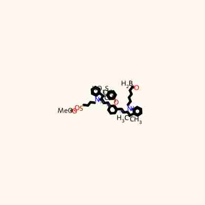 BC(=O)CCCCC[N+]1=C(/C=C/C2=C(Oc3ccc(S(=O)(=O)O)cc3)C(=C/C=C3/N(CCCCSOOOC)c4ccccc4C3(C)C)/CCC2)C(C)(C)c2ccccc21